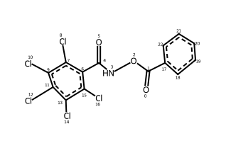 O=C(ONC(=O)c1c(Cl)c(Cl)c(Cl)c(Cl)c1Cl)c1ccccc1